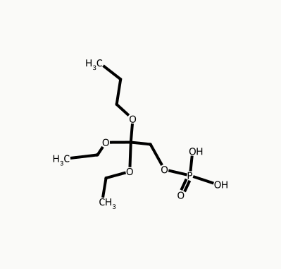 CCCOC(COP(=O)(O)O)(OCC)OCC